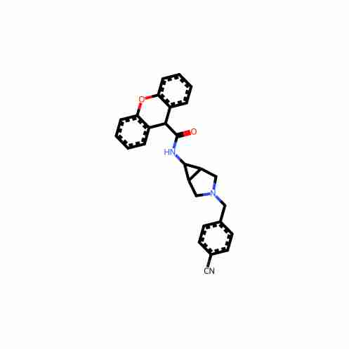 N#Cc1ccc(CN2CC3C(C2)C3NC(=O)C2c3ccccc3Oc3ccccc32)cc1